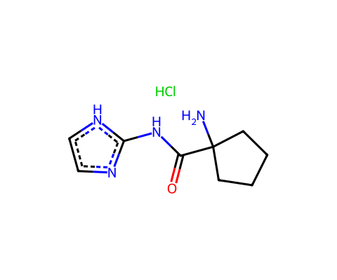 Cl.NC1(C(=O)Nc2ncc[nH]2)CCCC1